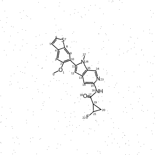 COc1cc2ccsc2cc1-c1cc2cc(NC(=O)C3CC3F)ncc2n1C